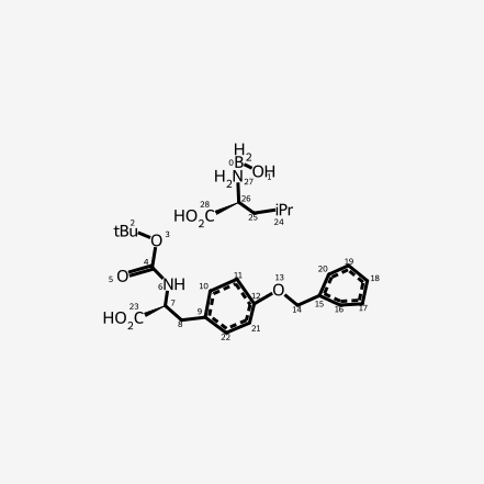 BO.CC(C)(C)OC(=O)N[C@@H](Cc1ccc(OCc2ccccc2)cc1)C(=O)O.CC(C)C[C@H](N)C(=O)O